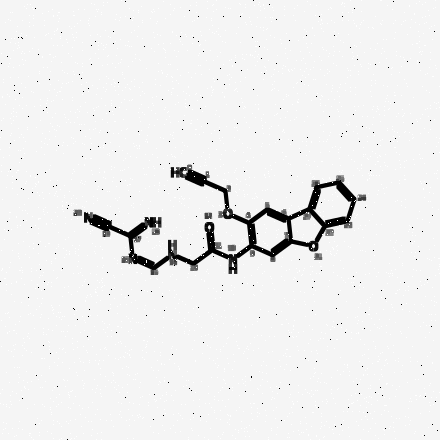 C#CCOc1cc2c(cc1NC(=O)CN/C=N\C(=N)C#N)oc1ccccc12